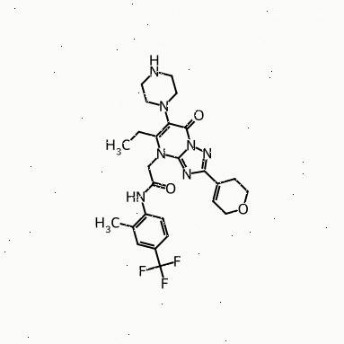 CCc1c(N2CCNCC2)c(=O)n2nc(C3=CCOCC3)nc2n1CC(=O)Nc1ccc(C(F)(F)F)cc1C